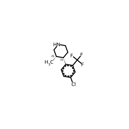 C[C@@H]1CNCC[C@@H]1c1ccc(Cl)cc1C(F)(F)F